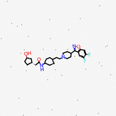 O=C(C[C@@H]1CC[C@@H](O)C1)NC1CCC(CCN2CCC(c3noc4cc(F)c(F)cc34)CC2)CC1